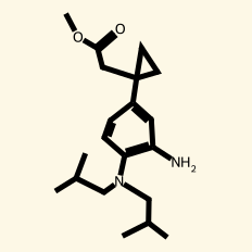 COC(=O)CC1(c2ccc(N(CC(C)C)CC(C)C)c(N)c2)CC1